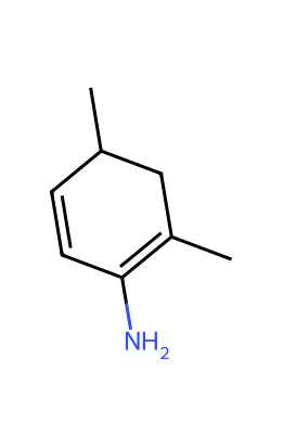 CC1=C(N)C=CC(C)C1